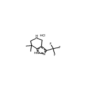 CC1(C)CNCc2c(C(F)(F)F)n[nH]c21.Cl